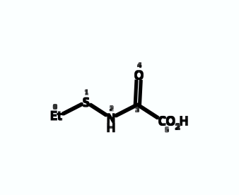 CCSNC(=O)C(=O)O